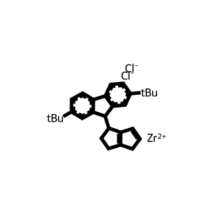 CC(C)(C)c1ccc2c(c1)C(C1CCC3=C1C=CC3)c1cc(C(C)(C)C)ccc1-2.[Cl-].[Cl-].[Zr+2]